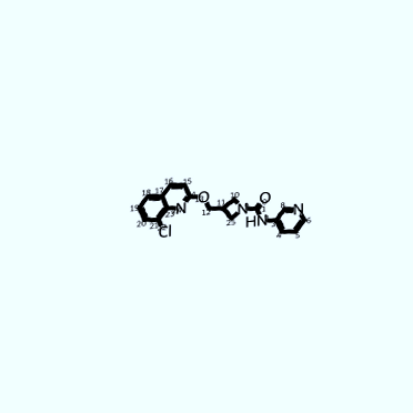 O=C(Nc1cccnc1)N1CC(COc2ccc3cccc(Cl)c3n2)C1